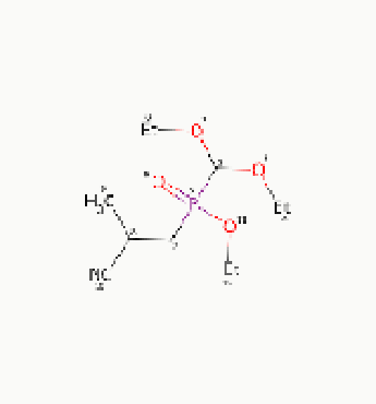 CCOC(OCC)P(=O)(CC(C)C#N)OCC